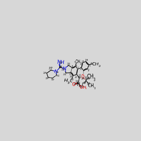 Cc1ccc(-c2c(C)c3c(c(C)c2[C@H](OC(C)(C)C)C(=O)O)CN(C(=N)N2CCCCC2)C3)cc1